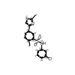 Cc1ncc(-c2ccc(C)c(S(=O)(=O)Nc3cccc(Cl)c3)c2)o1